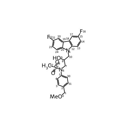 COCc1ccc(N(CC(O)Cn2c3ccc(F)cc3c3cc(F)ccc32)S(C)(=O)=O)cc1